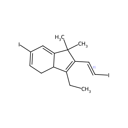 CCC1=C(/C=C/I)C(C)(C)C2=CC(I)=CCC21